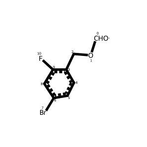 O=[C]OCc1ccc(Br)cc1F